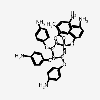 CCCOP1(Oc2ccc(N)cc2)=NP(Oc2ccc(N)cc2)N(Oc2ccc(N)cc2)P(Oc2ccc(N)cc2)N1Oc1ccc(N)cc1